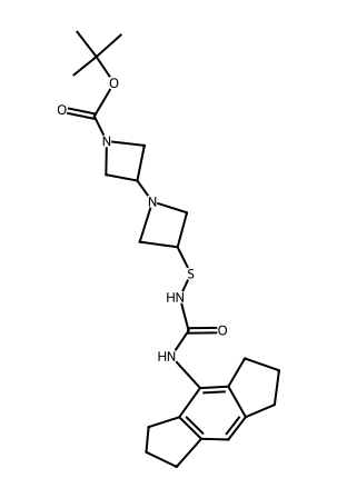 CC(C)(C)OC(=O)N1CC(N2CC(SNC(=O)Nc3c4c(cc5c3CCC5)CCC4)C2)C1